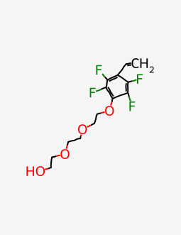 C=Cc1c(F)c(F)c(OCCOCCOCCO)c(F)c1F